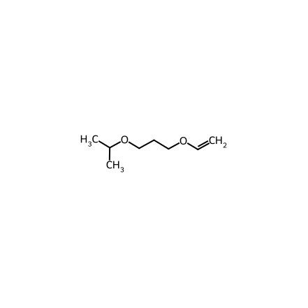 C=COCCCOC(C)C